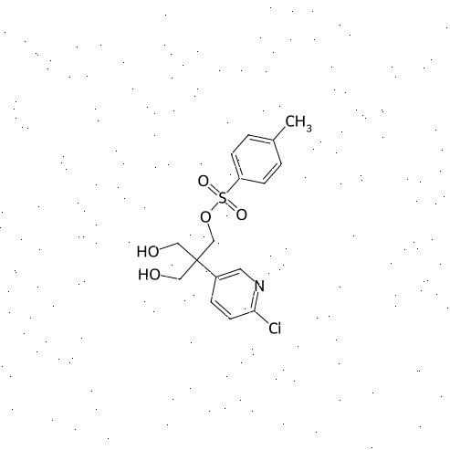 Cc1ccc(S(=O)(=O)OCC(CO)(CO)c2ccc(Cl)nc2)cc1